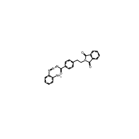 Nc1ccccc1N=[N+]=NC(=O)c1ccc(CCN2C(=O)c3ccccc3C2=O)cc1